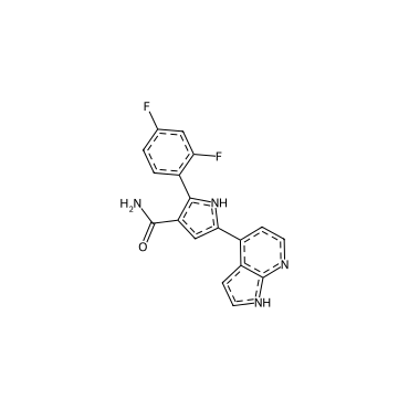 NC(=O)c1cc(-c2ccnc3[nH]ccc23)[nH]c1-c1ccc(F)cc1F